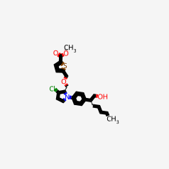 CCCCC[C@@H](CO)c1ccc(N2CCC(Cl)[C@@H]2COCc2ccc(C(=O)OC)s2)cc1